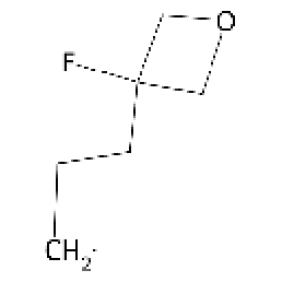 [CH2]CCC1(F)COC1